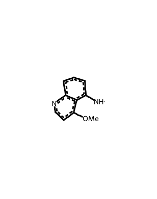 COc1ccnc2cccc([NH])c12